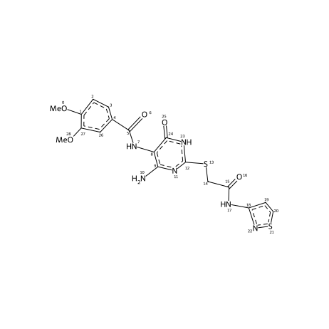 COc1ccc(C(=O)Nc2c(N)nc(SCC(=O)Nc3ccsn3)[nH]c2=O)cc1OC